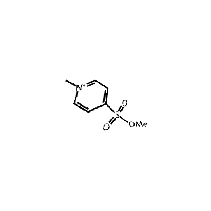 COS(=O)(=O)c1cc[n+](C)cc1